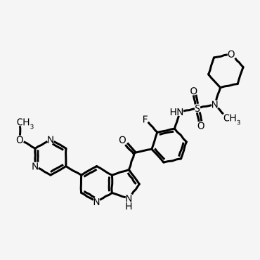 COc1ncc(-c2cnc3[nH]cc(C(=O)c4cccc(NS(=O)(=O)N(C)C5CCOCC5)c4F)c3c2)cn1